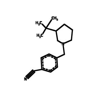 CC(C)(C)C1CCCN(Cc2ccc(C#N)cc2)C1